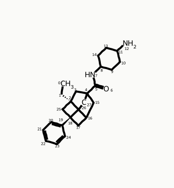 CC[C@@]12CC3(C(=O)NC4CCC(N)CC4)CC4C[C@](c5ccccc5)(C1)C42C3